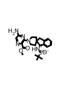 COC(=O)c1ncc(N)nc1N1CCC2(CC1)Cc1ccccc1[C@H]2N[S@+]([O-])C(C)(C)C